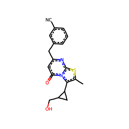 Cc1sc2nc(Cc3cccc(C#N)c3)cc(=O)n2c1C1CC1CO